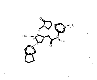 CCCCN(C(=O)CN1C[C@H](c2ccc3c(c2)CCO3)[C@@H](C(=O)O)[C@@H]1CN1CCCC1=O)c1ccc[n+](C)c1